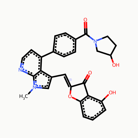 Cn1cc(/C=C2\Oc3cccc(O)c3C2=O)c2c(-c3ccc(C(=O)N4CCC(O)C4)cc3)ccnc21